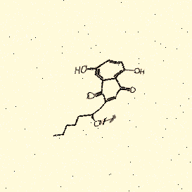 CCCCCC(O)C1=CC(=O)c2c(O)ccc(O)c2C1=O